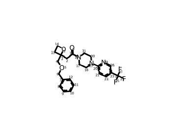 O=C(CC1(COCc2ccccc2)CCO1)N1CCN(c2ccc(C(F)(F)F)cn2)CC1